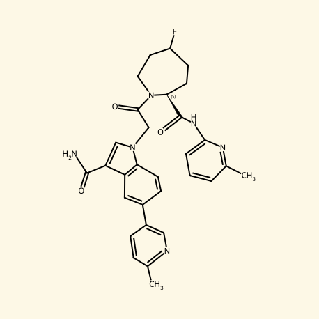 Cc1ccc(-c2ccc3c(c2)c(C(N)=O)cn3CC(=O)N2CCC(F)CC[C@H]2C(=O)Nc2cccc(C)n2)cn1